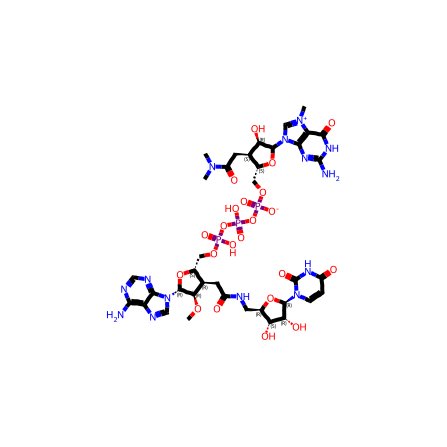 CO[C@@H]1[C@H](CC(=O)NC[C@H]2O[C@@H](n3ccc(=O)[nH]c3=O)[C@H](O)[C@@H]2O)[C@@H](COP(=O)(O)OP(=O)(O)OP(=O)([O-])OC[C@H]2OC(n3c[n+](C)c4c(=O)[nH]c(N)nc43)[C@H](O)[C@@H]2CC(=O)N(C)C)O[C@H]1n1cnc2c(N)ncnc21